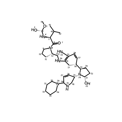 CO[C@@H](O)N[C@H](C(=O)N1CCC[C@H]1[C@@H]1NC2=C(C[C@@H]([C@H]3CC[C@H](O)N3[C@H]3C=CC(N4CCCCC4)NC3)C=C2)N1)C(C)C